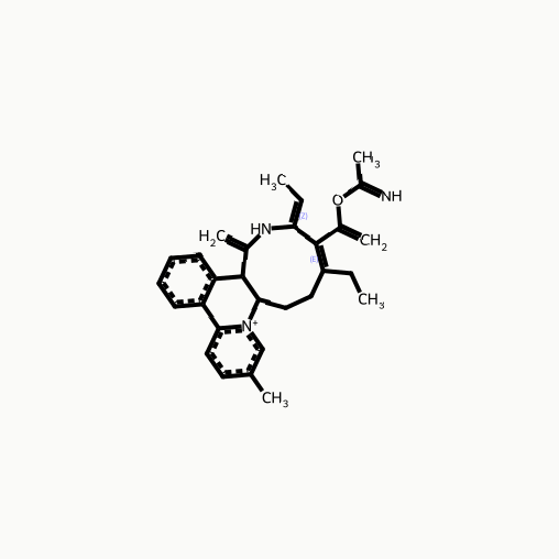 C=C(OC(C)=N)/C1=C(\CC)CCC2C(C(=C)N\C1=C/C)c1ccccc1-c1ccc(C)c[n+]12